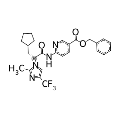 Cc1nc(C(F)(F)F)cn1[C@H](CC1CCCC1)C(=O)Nc1ccc(C(=O)OCc2ccccc2)cn1